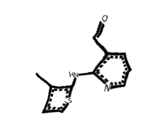 Cc1ccsc1Nc1ncccc1C=O